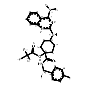 Cc1ccc([C@H](C)NC(=O)C2(OC(=O)C(F)(F)F)CCC(Nc3nc(N(C)C)c4ccccc4n3)CC2)cc1